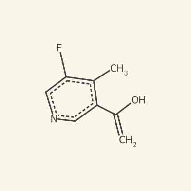 C=C(O)c1cncc(F)c1C